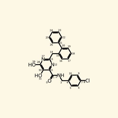 O=C(NCc1ccc(Cl)cc1)c1nc(Cc2ccccc2-c2ccccc2)nc(O)c1O